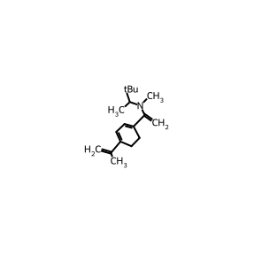 C=C(C)C1=CC=C(C(=C)N(C)C(C)C(C)(C)C)CC1